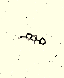 N#Cc1ccc2nc(-c3ccccc3)[nH]c2n1